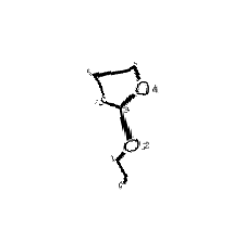 CCOC1OCCS1